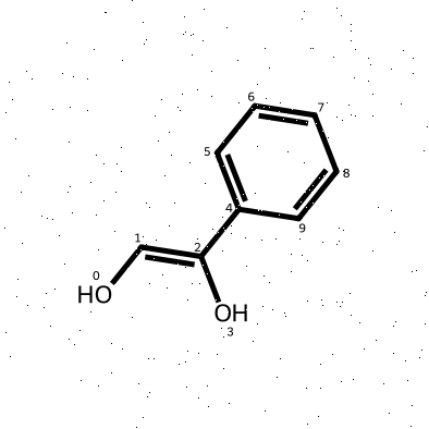 OC=C(O)c1ccccc1